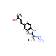 C=C(O)/C=C/c1ccc2nc([C@H](C)NN)[nH]c2c1